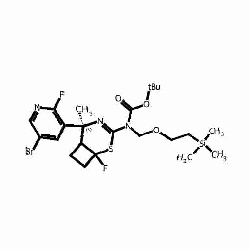 CC(C)(C)OC(=O)N(COCC[Si](C)(C)C)C1=N[C@](C)(c2cc(Br)cnc2F)C2CCC2(F)S1